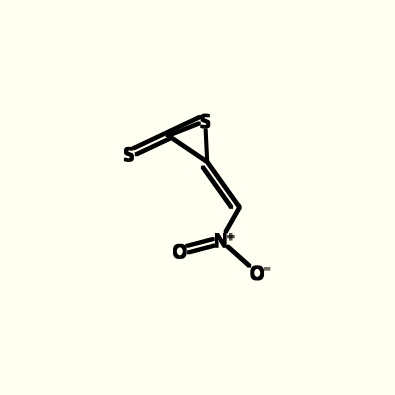 O=[N+]([O-])C=C1SC1=S